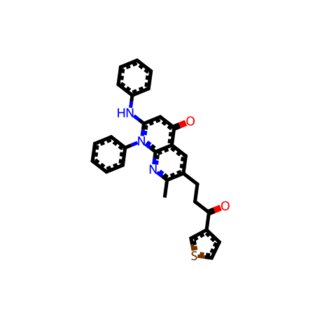 Cc1nc2c(cc1CCC(=O)c1ccsc1)c(=O)cc(Nc1ccccc1)n2-c1ccccc1